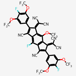 N#CC(C#N)=C1C(c2cc(OC(F)(F)F)c(F)c(OC(F)(F)F)c2)=C(C#N)c2c(F)c3c(c(OC(F)(F)F)c21)C(=C(C#N)C#N)C(c1cc(OC(F)(F)F)c(F)c(OC(F)(F)F)c1)=C3C#N